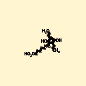 C=CCc1cc(O)c(CC=C)c(/C=N/CCCCCC(=O)O)c1O